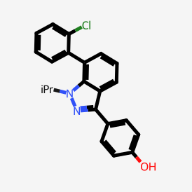 CC(C)n1nc(-c2ccc(O)cc2)c2cccc(-c3ccccc3Cl)c21